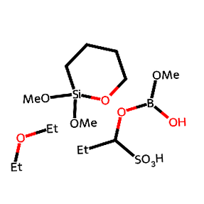 CCC(OB(O)OC)S(=O)(=O)O.CCOCC.CO[Si]1(OC)CCCCO1